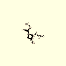 CC[C@H]1CN(C(=O)OC(C)(C)C)[C@@H]1OC=O